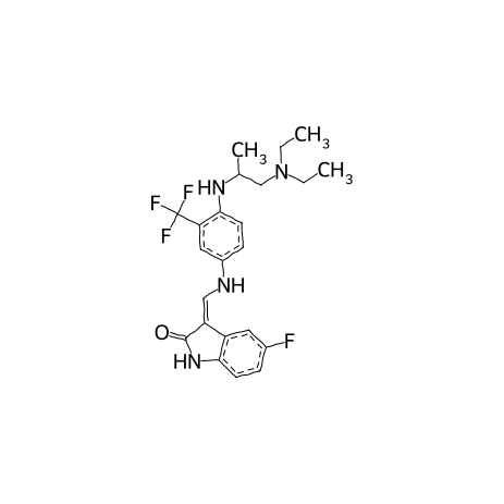 CCN(CC)CC(C)Nc1ccc(N/C=C2/C(=O)Nc3ccc(F)cc32)cc1C(F)(F)F